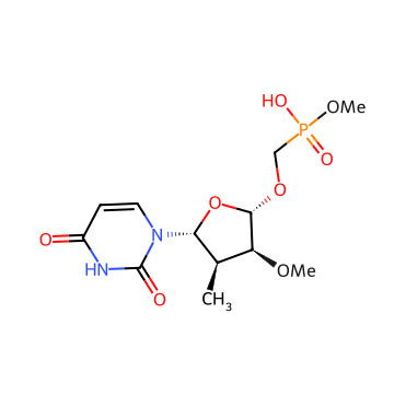 CO[C@@H]1[C@@H](OCP(=O)(O)OC)O[C@@H](n2ccc(=O)[nH]c2=O)[C@@H]1C